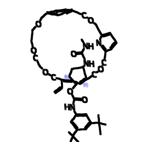 C=C/C1=C\C=C(/C(CCCOC(=O)Nc2cc(C(C)(C)C)cc(C(C)(C)C)c2)NC(=O)NC)COCc2cccc(n2)COCc2ccc(cc2)COCCOCCOC1